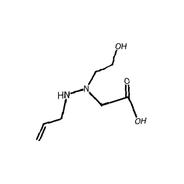 C=CCNN(CCO)CC(=O)O